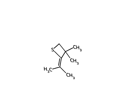 CC(C)=C1SCC1(C)C